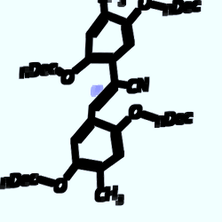 CCCCCCCCCCOc1cc(/C=C(\C#N)c2cc(OCCCCCCCCCC)c(C)cc2OCCCCCCCCCC)c(OCCCCCCCCCC)cc1C